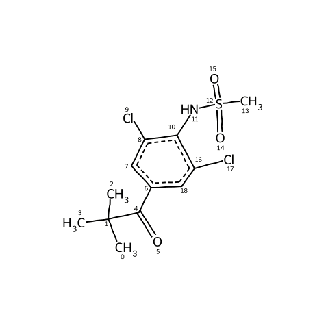 CC(C)(C)C(=O)c1cc(Cl)c(NS(C)(=O)=O)c(Cl)c1